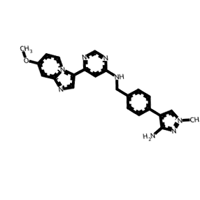 COc1ccn2c(-c3cc(NCc4ccc(-c5cn(C)nc5N)cc4)ncn3)cnc2c1